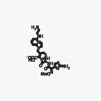 CO/N=C(\C(=O)N[C@@H]1C(=O)N2C(C(=O)[O-])=C(Cn3cc[n+]4c(NCCN)cccc34)CS[C@@H]12)c1csc(N)n1.Cl